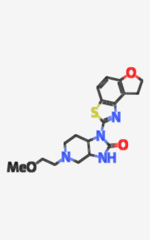 COCCN1CCC2C(C1)NC(=O)N2c1nc2c3c(ccc2s1)OCC3